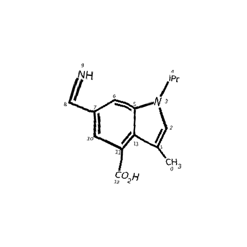 Cc1cn(C(C)C)c2cc(C=N)cc(C(=O)O)c12